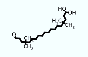 CC(C)(CCC=O)CCCCCCCCCCCC(C)(C)CCC(O)O